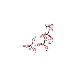 [Co+2].[Li+].[O]=[V](=[O])[O-].[O]=[V](=[O])[O-].[O]=[V](=[O])[O-]